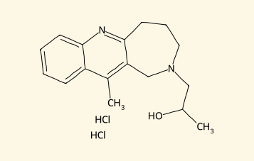 Cc1c2c(nc3ccccc13)CCCN(CC(C)O)C2.Cl.Cl